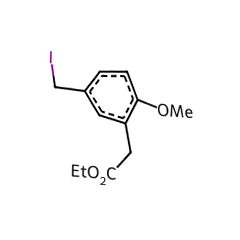 CCOC(=O)Cc1cc(CI)ccc1OC